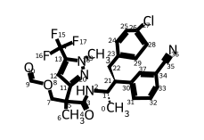 C[C@H](NC(=O)C(C)(COC=O)c1cc(C(F)(F)F)n(C)n1)[C@@H](Cc1ccc(Cl)cc1)c1cccc(C#N)c1